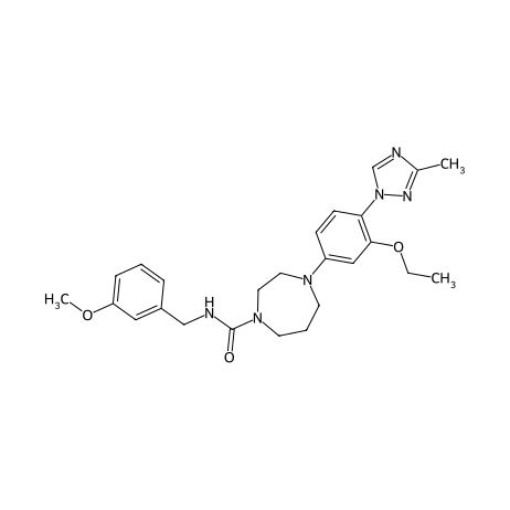 CCOc1cc(N2CCCN(C(=O)NCc3cccc(OC)c3)CC2)ccc1-n1cnc(C)n1